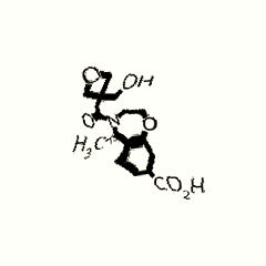 C[C@H]1c2ccc(C(=O)O)cc2OCCN1C(=O)C1(CO)COC1